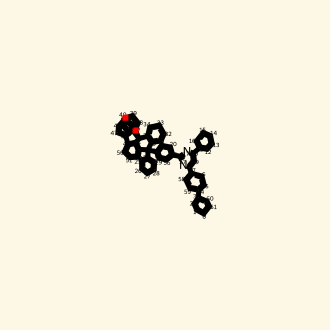 c1ccc(-c2ccc(-c3cc(-c4ccccc4)nc(-c4ccc(C5(c6ccccc6)c6ccccc6C6(c7ccccc7)c7ccccc7-c7cccc5c76)cc4)n3)cc2)cc1